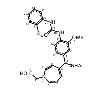 COc1cc(C(NC(C)=O)C2=CC=CN(CC(=O)O)C=C2)ccc1NC(=O)Nc1ccccc1C